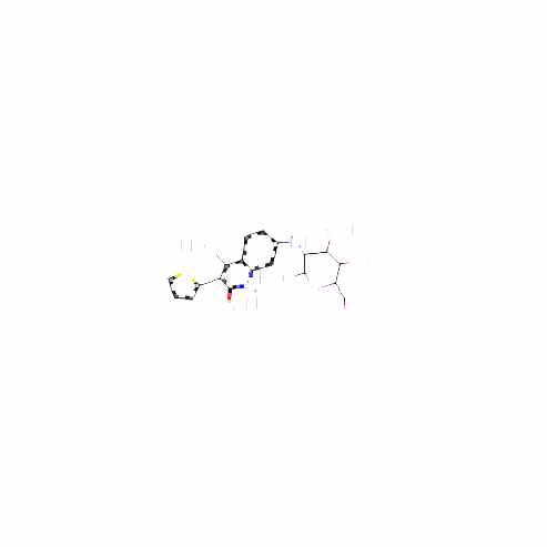 Cc1c(-c2cccs2)c(=O)[nH]c2cc(NC3C(C)OC(CO)C(O)C3O)ccc12